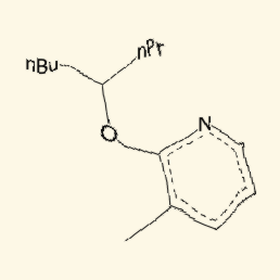 CCCCC(CCC)Oc1ncccc1C